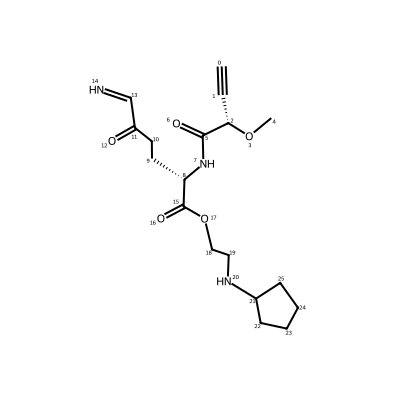 C#C[C@H](OC)C(=O)N[C@@H](CCC(=O)C=N)C(=O)OCCNC1CCCC1